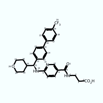 O=C(O)CCNC(=O)c1ccc(N[C@H](c2ccc(-c3ccc(C(F)(F)F)cc3)cc2)C2CCOCC2)nc1